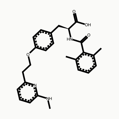 CNc1cccc(CCOc2ccc(C[C@H](NC(=O)c3c(C)cccc3C)C(=O)O)cc2)n1